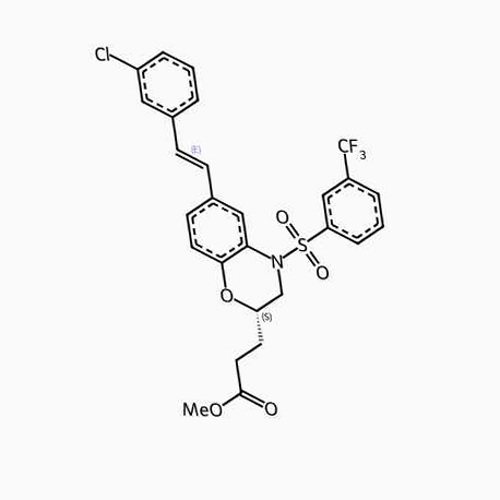 COC(=O)CC[C@H]1CN(S(=O)(=O)c2cccc(C(F)(F)F)c2)c2cc(/C=C/c3cccc(Cl)c3)ccc2O1